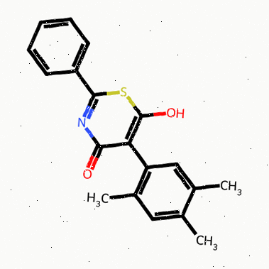 Cc1cc(C)c(-c2c(O)sc(-c3ccccc3)nc2=O)cc1C